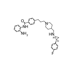 Nc1ccccc1NC(=O)c1ccc(CCCN2CCC(CN[C@@H]3C[C@H]3c3ccc(F)cc3)CC2)cc1